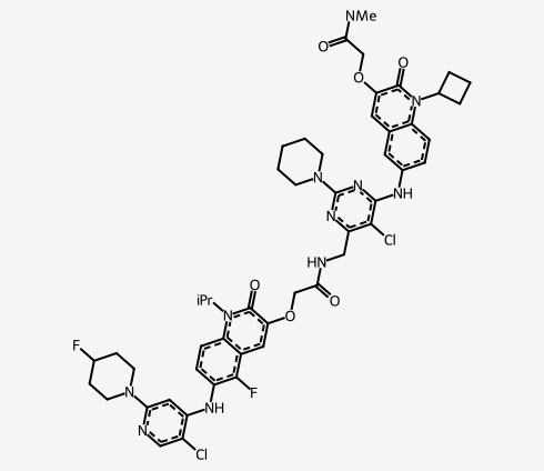 CNC(=O)COc1cc2cc(Nc3nc(N4CCCCC4)nc(CNC(=O)COc4cc5c(F)c(Nc6cc(N7CCC(F)CC7)ncc6Cl)ccc5n(C(C)C)c4=O)c3Cl)ccc2n(C2CCC2)c1=O